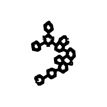 c1ccc(-c2ccc(-c3ccc4c5c(cccc35)-c3c(cccc3-c3ccc(-c5nc(-c6ccccc6)nc(-c6ccccc6)n5)c5ccccc35)O4)cc2)cc1